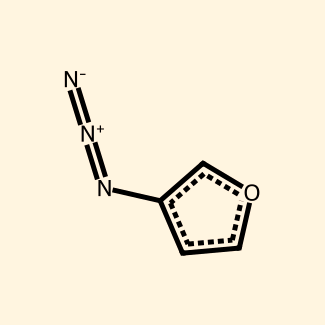 [N-]=[N+]=Nc1ccoc1